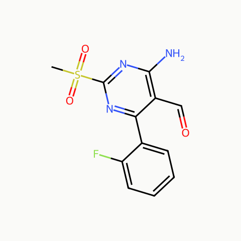 CS(=O)(=O)c1nc(N)c(C=O)c(-c2ccccc2F)n1